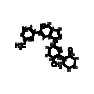 Cc1cncc(-c2cc3c(cn2)cnn3-c2ccc(C)c(N3CCCCC3=O)n2)n1